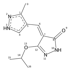 Cc1n[nH]cc1C=C1C(=O)NN=C1OC(C)C